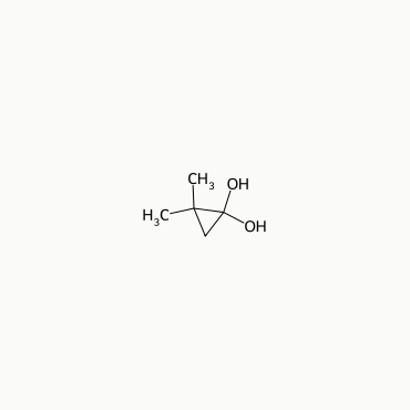 CC1(C)CC1(O)O